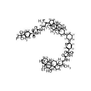 CC[C@H]1[C@@H](O)[C@@H]2[C@H](CC[C@]3(C)[C@@H]([C@H](C)CNC(=O)NS(=O)(=O)c4ccc(N5CCCC(C6CC[C@@]7(C)[C@H](CC[C@@H]8[C@@H]7CC[C@]7(C)C([C@H](C)CCNC(=O)NS(=O)(=O)c9ccc(C(C)(C)CF)cc9)CC[C@@H]87)C6)C5)nc4)CC[C@@H]23)[C@@]2(C)CCCC[C@@H]12